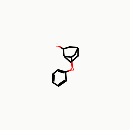 [O]C1CC2CCC1C(Oc1c[c]ccc1)C2